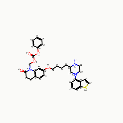 O=C(OCN1C(=O)CCc2ccc(OCCCCC3CN(c4cccc5sccc45)CCN3)cc21)Oc1ccccc1